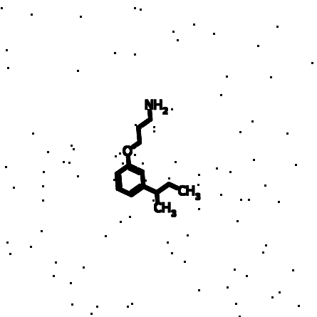 CCC(C)c1cccc(OCCCN)c1